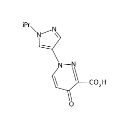 CC(C)n1cc(-n2ccc(=O)c(C(=O)O)n2)cn1